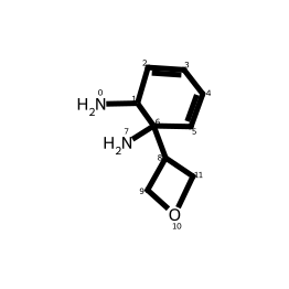 NC1C=CC=CC1(N)C1COC1